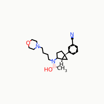 CB(O)N(CCCCN1CCOCC1)C1CC[C@]2(c3cccc(C#N)c3)C[C@H]12